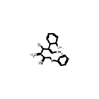 C=C(C(=N)CSc1ccccc1)C(CC)/C(=C/C)C1C=CC=CC1C